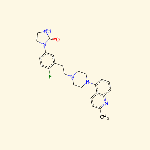 Cc1ccc2c(N3CCN(CCc4cc(N5CCNC5=O)ccc4F)CC3)cccc2n1